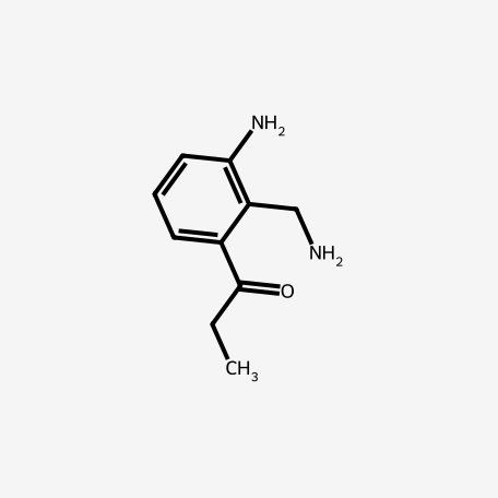 CCC(=O)c1cccc(N)c1CN